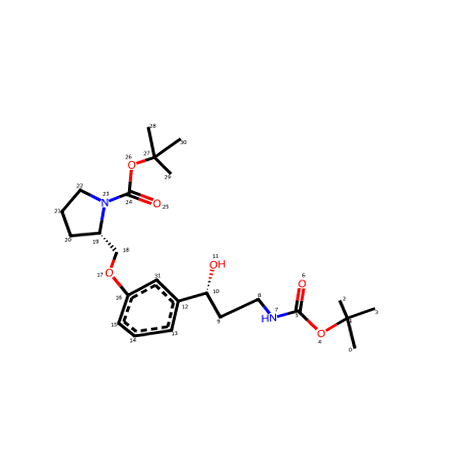 CC(C)(C)OC(=O)NCC[C@@H](O)c1cccc(OC[C@@H]2CCCN2C(=O)OC(C)(C)C)c1